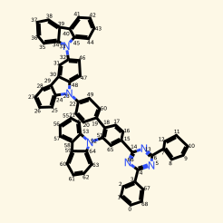 c1ccc(-c2nc(-c3ccccc3)nc(-c3ccc(-c4ccc(-n5c6ccccc6c6cc(-n7c8ccccc8c8ccccc87)ccc65)cc4)c(-n4c5ccccc5c5ccccc54)c3)n2)cc1